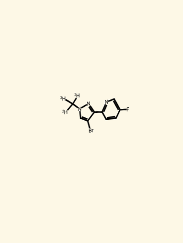 [2H]C([2H])([2H])n1cc(Br)c(-c2ccc(F)cn2)n1